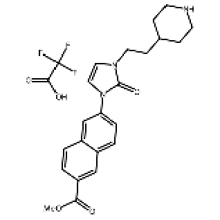 COC(=O)c1ccc2cc(-n3ccn(CCC4CCNCC4)c3=O)ccc2c1.O=C(O)C(F)(F)F